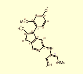 CN/C=C(\C=N)Nc1ncc2sc(C)c(-c3ccc(Cl)cc3OC)c2n1